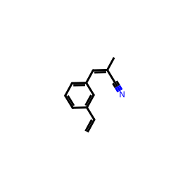 C=Cc1cccc(C=C(C)C#N)c1